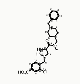 CN(CC1CCN(Cc2ccccc2)CC1)C(=O)C1CN(Cc2ccc(C(=O)O)cc2Cl)NN1